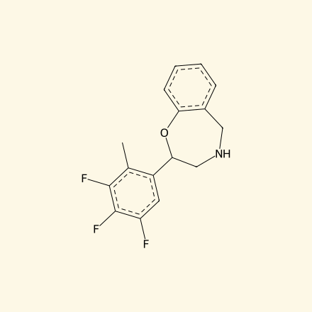 Cc1c(C2CNCc3ccccc3O2)cc(F)c(F)c1F